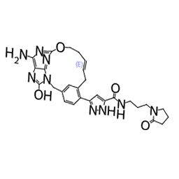 Nc1nc2nc3c1nc(O)n3Cc1ccc(-c3cc(C(=O)NCCCN4CCCC4=O)[nH]n3)c(c1)C/C=C/CCO2